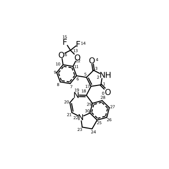 O=C1NC(=O)C(c2cccc3c2OC(F)(F)O3)=C1C1=NC=CN2CCc3cccc1c32